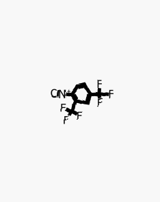 [C-]#[N+]c1ccc(C(F)(F)F)cc1C(F)(F)F